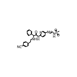 CS(=O)(=O)NCCNc1ccc(NC(=O)C(NCCc2ccc(C#N)cc2)c2ccccc2)nc1